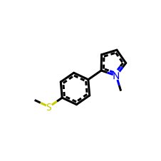 CSc1ccc(-c2cccn2C)cc1